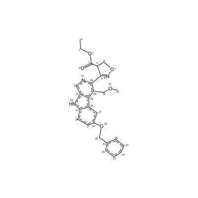 CCOC(=O)C1CON=C1c1ncc2[nH]c3ccc(OCc4ccccc4)cc3c2c1COC